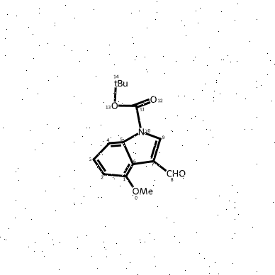 COc1cccc2c1c(C=O)cn2C(=O)OC(C)(C)C